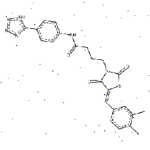 Cc1ccc(/C=C2\SC(=O)N(CCCC(=O)Nc3ccc(-c4nnn[nH]4)cc3)C2=O)cc1C